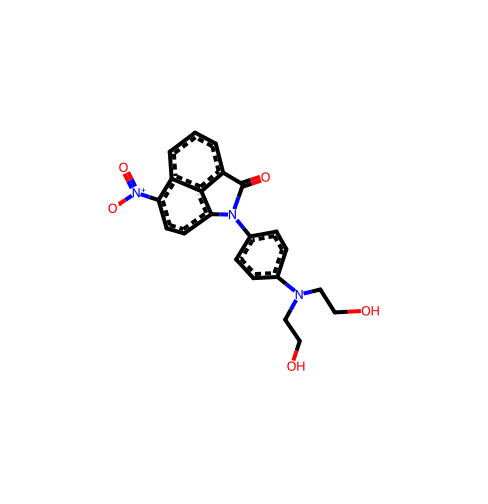 O=C1c2cccc3c([N+](=O)[O-])ccc(c23)N1c1ccc(N(CCO)CCO)cc1